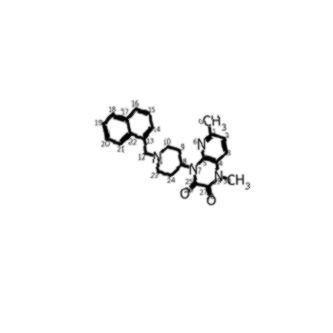 Cc1ccc2c(n1)n(C1CCN(Cc3cccc4ccccc34)CC1)c(=O)c(=O)n2C